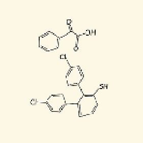 O=C(O)C(=O)c1ccccc1.Sc1cccc(-c2ccc(Cl)cc2)c1-c1ccc(Cl)cc1